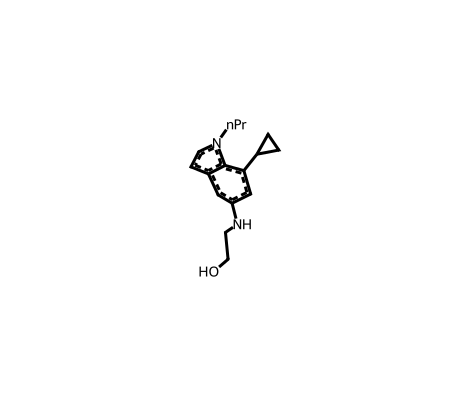 CCCn1ccc2cc(NCCO)cc(C3CC3)c21